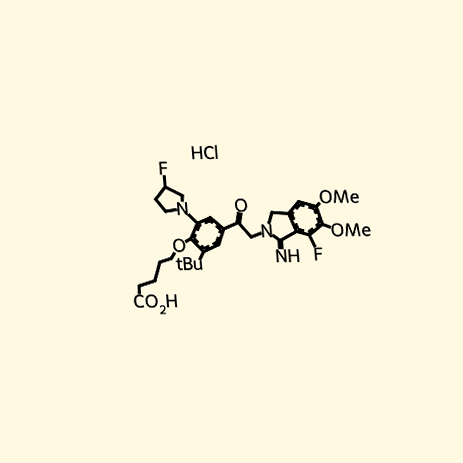 COc1cc2c(c(F)c1OC)C(=N)N(CC(=O)c1cc(N3CCC(F)C3)c(OCCCCC(=O)O)c(C(C)(C)C)c1)C2.Cl